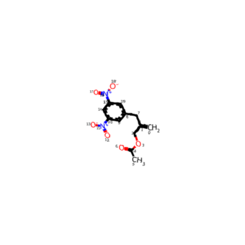 C=C(COC(C)=O)Cc1cc([N+](=O)[O-])cc([N+](=O)[O-])c1